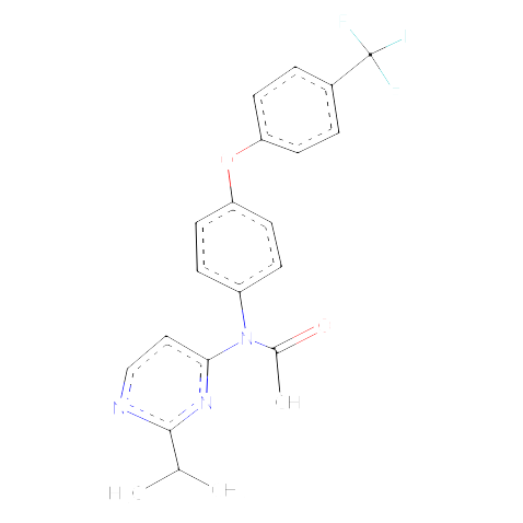 CC(=O)N(c1ccc(Oc2ccc(C(F)(F)F)cc2)cc1)c1ccnc(C(C)C)n1